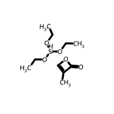 CC1=COC1=O.CCO[SiH](OCC)OCC